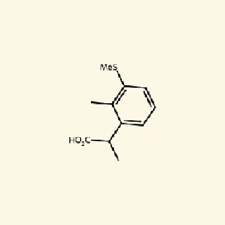 CSc1cccc(C(C)C(=O)O)c1C